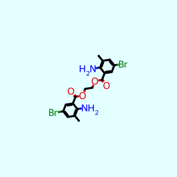 Cc1cc(Br)cc(C(=O)OCCOC(=O)c2cc(Br)cc(C)c2N)c1N